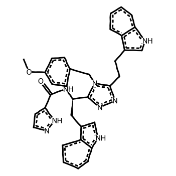 COc1ccc(Cn2c(CCc3c[nH]c4ccccc34)nnc2[C@@H](Cc2c[nH]c3ccccc23)NC(=O)c2ccn[nH]2)cc1